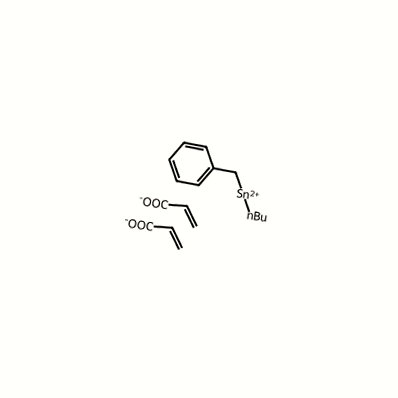 C=CC(=O)[O-].C=CC(=O)[O-].CCC[CH2][Sn+2][CH2]c1ccccc1